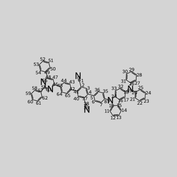 N#Cc1cc(-c2ccc(-n3c4ccccc4c4cc(N(c5ccccc5)c5ccccc5)ccc43)cc2)c(C#N)cc1-c1ccc(-c2cc(-c3ccccc3)nc(-c3ccccc3)n2)cc1